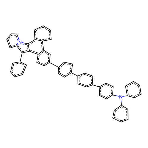 c1ccc(-c2c3c4ccc(-c5ccc(-c6ccc(-c7ccc(N(c8ccccc8)c8ccccc8)cc7)cc6)cc5)cc4c4ccccc4c3n3ccccc23)cc1